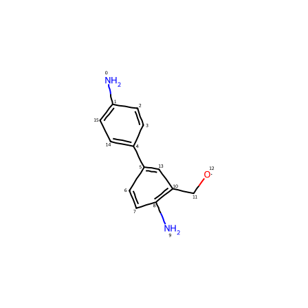 Nc1ccc(-c2ccc(N)c(C[O])c2)cc1